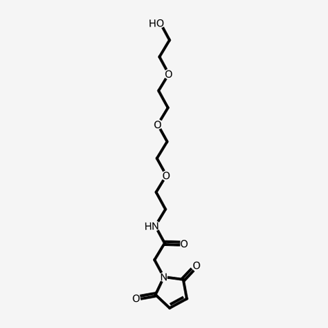 O=C(CN1C(=O)C=CC1=O)NCCOCCOCCOCCO